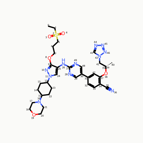 CCS(=O)(=O)CCCOc1nn(C2CCC(N3CCOCC3)CC2)cc1Nc1ncc(-c2ccc(C#N)c(O[C@@H](C)Cn3cnnn3)c2)cn1